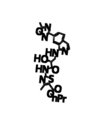 CCCOC(=O)c1sc(NC(=O)[C@@H](O)CNc2nccc3ccc(-c4noc(C)n4)cc23)nc1C